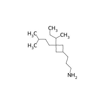 CCC(C)C1(CCC(C)C)CC(CCCN)C1